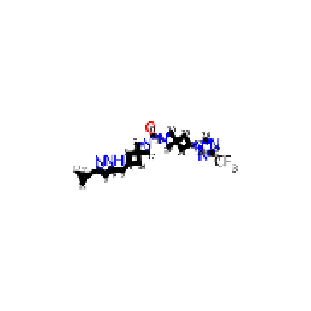 O=C(N1CC2(CC(Cc3cc(C4CC4)n[nH]3)C2)C1)N1CC2(CC(n3cnc(C(F)(F)F)n3)C2)C1